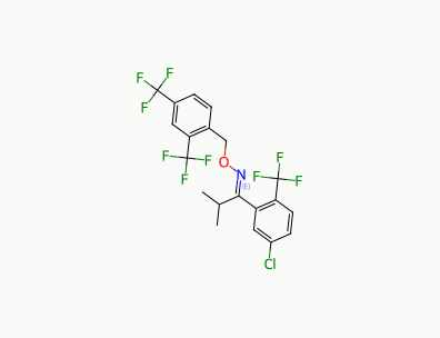 CC(C)/C(=N\OCc1ccc(C(F)(F)F)cc1C(F)(F)F)c1cc(Cl)ccc1C(F)(F)F